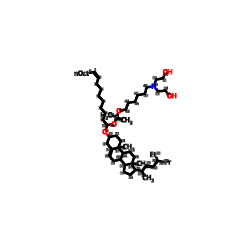 CCCCCCCC/C=C\CCCCCCCC(OC1CCC2(C)C(=CCC3C2CCC2(C)C(C(C)/C=C/C(CC)C(C)C)CCC32)C1)O[Si](C)(C)OCCCCCCN(CCO)CCO